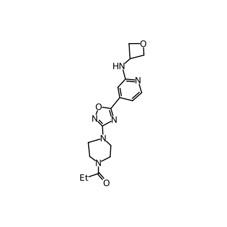 CCC(=O)N1CCN(c2noc(-c3ccnc(NC4COC4)c3)n2)CC1